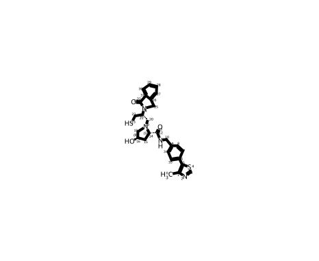 Cc1ncsc1-c1ccc(CNC(=O)[C@@H]2C[C@@H](O)CN2C[C@H](CS)N2Cc3ccccc3C2=O)cc1